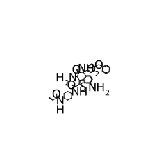 C=CC(=O)NC1CCC(NC(=O)c2sc3c(N)ccc4c3c2C(N)C(=O)C4(N)c2ccc(Oc3ccccc3)cc2)CC1